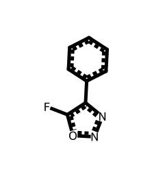 Fc1onnc1-c1ccccc1